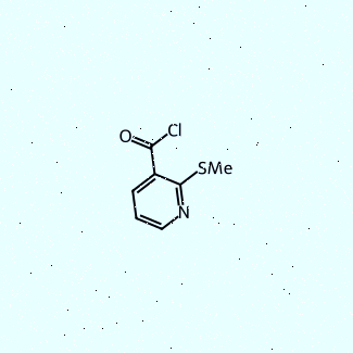 CSc1ncccc1C(=O)Cl